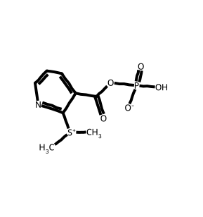 C[S+](C)c1ncccc1C(=O)OP(=O)([O-])O